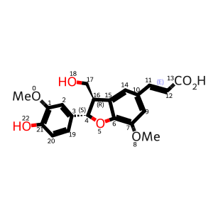 COc1cc([C@H]2Oc3c(OC)cc(/C=C/C(=O)O)cc3[C@@H]2CO)ccc1O